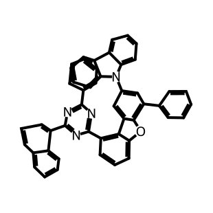 c1ccc(-c2nc(-c3cccc4ccccc34)nc(-c3cccc4oc5c(-c6ccccc6)cc(-n6c7ccccc7c7ccccc76)cc5c34)n2)cc1